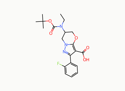 CCN(C(=O)OC(C)(C)C)C1COc2c(C(=O)O)c(-c3ccccc3F)nn2C1